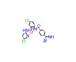 N=C(c1ccc(C(=O)Nc2ccc(Cl)cc2C(=O)Nc2ccc(Cl)cn2)cc1)N1CC1